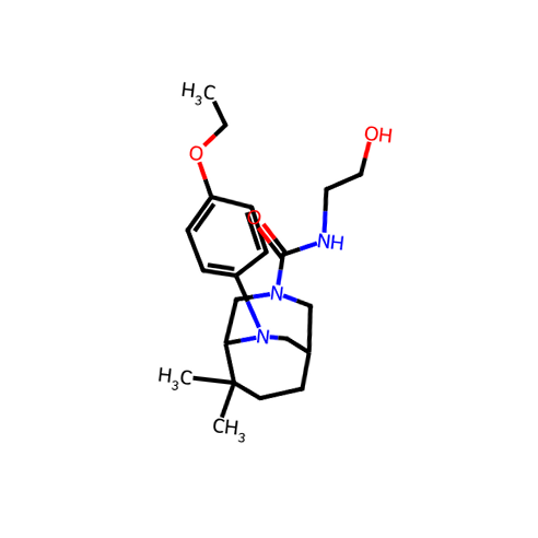 CCOc1ccc(N2CC3CCC(C)(C)C2CN(C(=O)NCCO)C3)cc1